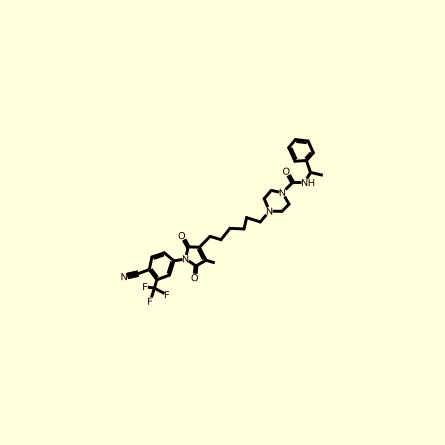 CC1=C(CCCCCCN2CCN(C(=O)NC(C)c3ccccc3)CC2)C(=O)N(c2ccc(C#N)c(C(F)(F)F)c2)C1=O